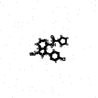 CC(C)(C)n1nc(-c2ccc(Cl)cc2)c2c(NC(=O)C3CCCC3)ncnc21